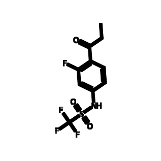 CCC(=O)c1ccc(NS(=O)(=O)C(F)(F)F)cc1F